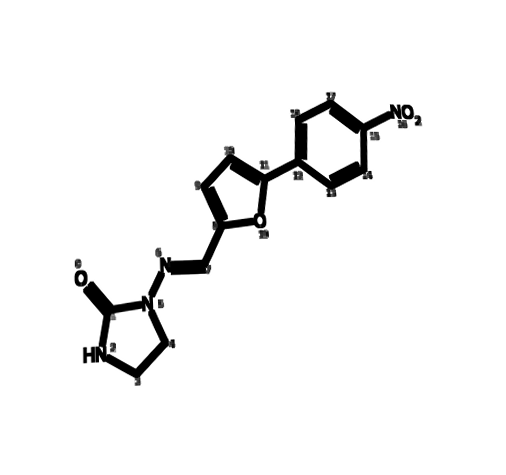 O=C1NCCN1/N=C/c1ccc(-c2ccc([N+](=O)[O-])cc2)o1